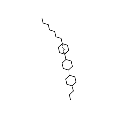 CCCCCCCC12CCC(C3CCC([C@H]4CC[C@H](CCC)CC4)CC3)(CC1)CC2